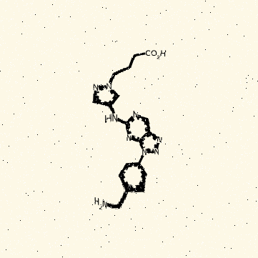 NCc1ccc(-n2nnc3cnc(Nc4cnn(CCCC(=O)O)c4)nc32)cc1